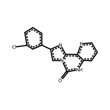 O=c1[nH]c2cccnc2c2nc(-c3cccc(Cl)c3)cn12